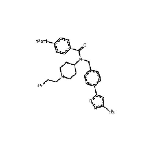 CCCCCc1ccc(C(=O)N(Cc2ccc(-c3cc(C(C)(C)C)no3)cc2)C2CCN(CCC(C)C)CC2)cc1